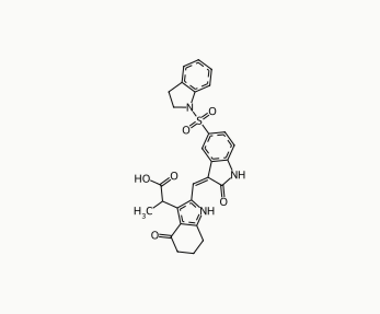 CC(C(=O)O)c1c(/C=C2\C(=O)Nc3ccc(S(=O)(=O)N4CCc5ccccc54)cc32)[nH]c2c1C(=O)CCC2